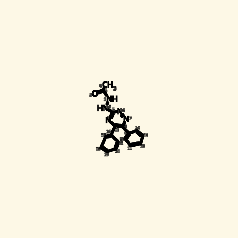 CC(=O)NNc1nnc(-c2ccccc2)c(-c2ccccc2)n1